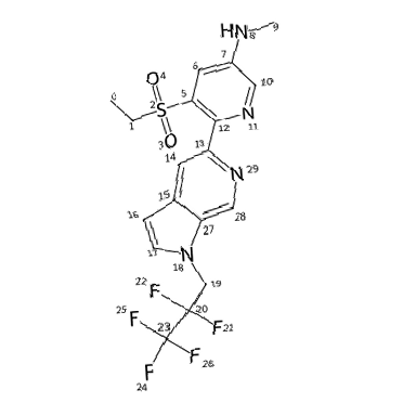 CCS(=O)(=O)c1cc(NC)cnc1-c1cc2ccn(CC(F)(F)C(F)(F)F)c2cn1